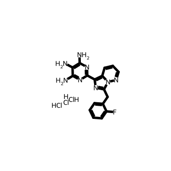 Cl.Cl.Cl.Nc1nc(-c2nc(Cc3ccccc3F)n3ncccc23)nc(N)c1N